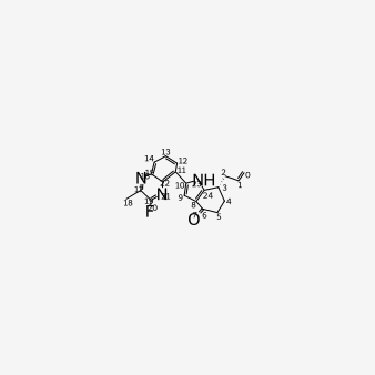 C=CC[C@@H]1CCC(=O)c2cc(-c3cccc4nc(C)c(F)nc34)[nH]c21